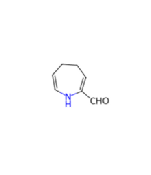 O=CC1=CCCC=CN1